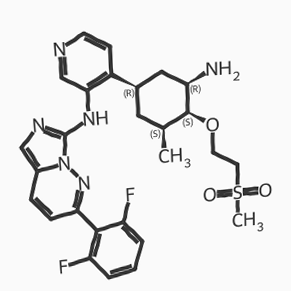 C[C@H]1C[C@@H](c2ccncc2Nc2ncc3ccc(-c4c(F)cccc4F)nn23)C[C@@H](N)[C@H]1OCCS(C)(=O)=O